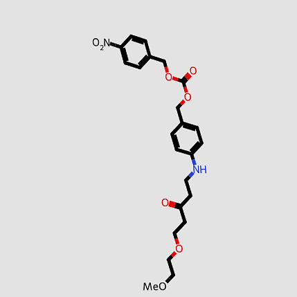 COCCOCCC(=O)CCNc1ccc(COC(=O)OCc2ccc([N+](=O)[O-])cc2)cc1